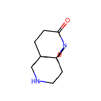 O=C1CCC2CNCCC23OCCCN13